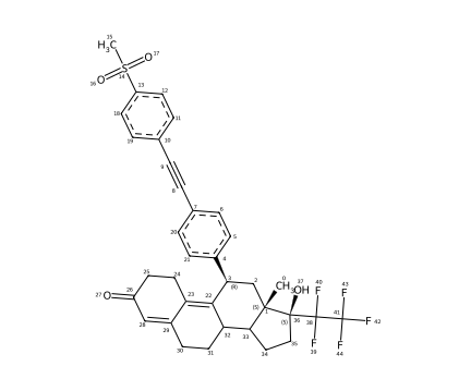 C[C@]12C[C@H](c3ccc(C#Cc4ccc(S(C)(=O)=O)cc4)cc3)C3=C4CCC(=O)C=C4CCC3C1CC[C@@]2(O)C(F)(F)C(F)(F)F